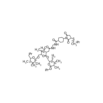 CC(C)CC1O[C@@H](OCC2O[C@@H](OCC3O[C@@H](OC(C)C)C(C)[C@H](C)[C@@H]3C)C(CC(=O)NCNC(=O)C3CCC(N4C(=O)CC(S[C@@H](C)C(C)C)C4=O)CC3)[C@H](C)[C@@H]2C)C(C)[C@H](C)[C@@H]1C